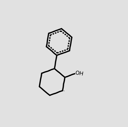 OC1[CH]CCCC1c1ccccc1